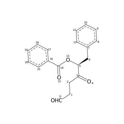 O=CCCC(=O)[C@H](Cc1ccccc1)OC(=O)c1ccccc1